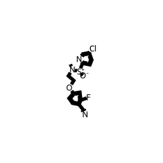 CN(CCOc1ccc(C#N)c(F)c1)[S+]([O-])c1ccc(Cl)cn1